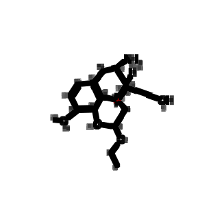 CCOC1C[C@]23C=CC(O)C[C@H]2[C@H](N)Cc2ccc(OC)c(c23)O1